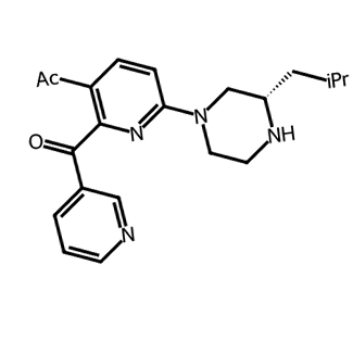 CC(=O)c1ccc(N2CCN[C@@H](CC(C)C)C2)nc1C(=O)c1cccnc1